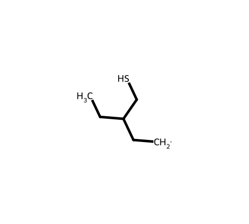 [CH2]CC(CC)CS